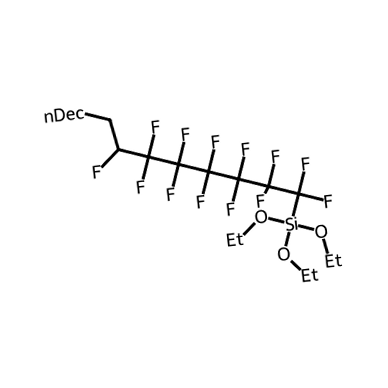 CCCCCCCCCCCC(F)C(F)(F)C(F)(F)C(F)(F)C(F)(F)C(F)(F)C(F)(F)[Si](OCC)(OCC)OCC